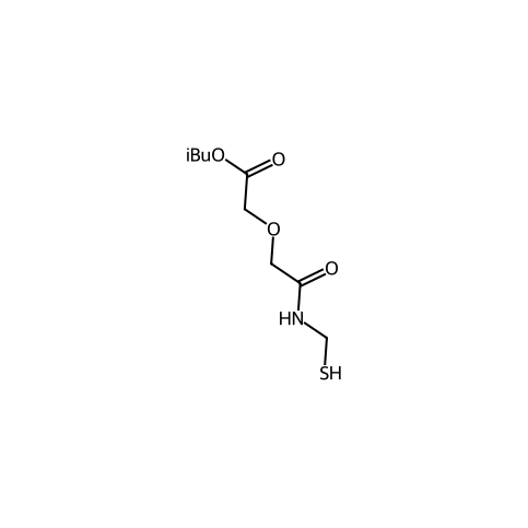 CC(C)COC(=O)COCC(=O)NCS